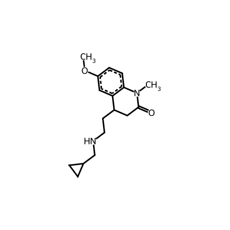 COc1ccc2c(c1)C(CCNCC1CC1)CC(=O)N2C